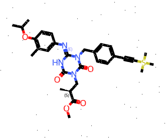 COC(=O)[C@@H](C)Cn1c(=O)[nH]/c(=N\c2ccc(OC(C)C)c(C)c2)n(Cc2ccc(C#CS(C)(C)C)cc2)c1=O